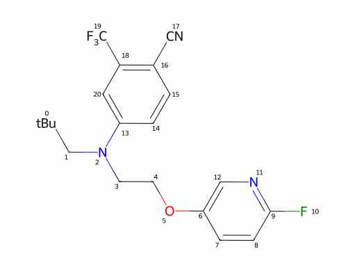 CC(C)(C)CN(CCOc1ccc(F)nc1)c1ccc(C#N)c(C(F)(F)F)c1